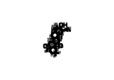 CC(=O)[C@]12CCC(C)(C)C[C@H]1[C@H]1C(=O)C[C@@H]3[C@@]4(C)CC(C#N)=C(O)C(C)(C)[C@@H]4CC[C@@]3(C)[C@]1(C)CC2